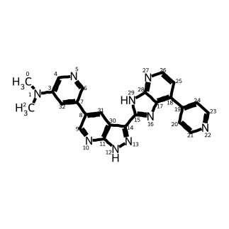 CN(C)c1cncc(-c2cnc3[nH]nc(-c4nc5c(-c6ccncc6)ccnc5[nH]4)c3c2)c1